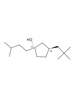 CC(C)CC[C@]1(O)CC[C@H](CC(C)(C)C)C1